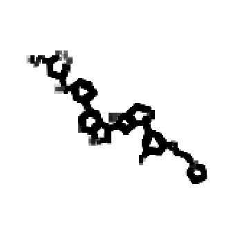 CC(C)CC(=O)Nc1cncc(-c2cnc3[nH]nc(-c4cc5c(-c6cc(F)cc(OCCN7CCCC7)c6)nccc5[nH]4)c3c2)c1